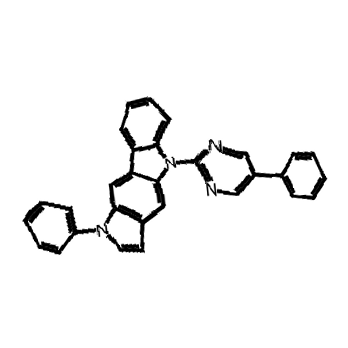 c1ccc(-c2cnc(-n3c4ccccc4c4cc5c(ccn5-c5ccccc5)cc43)nc2)cc1